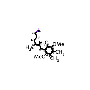 COc1c(C)c(C)c(OC)c(C/C=C(\C)CCCI)c1C